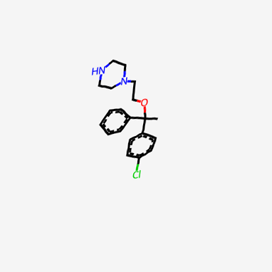 CC(OCCN1CCNCC1)(c1ccccc1)c1ccc(Cl)cc1